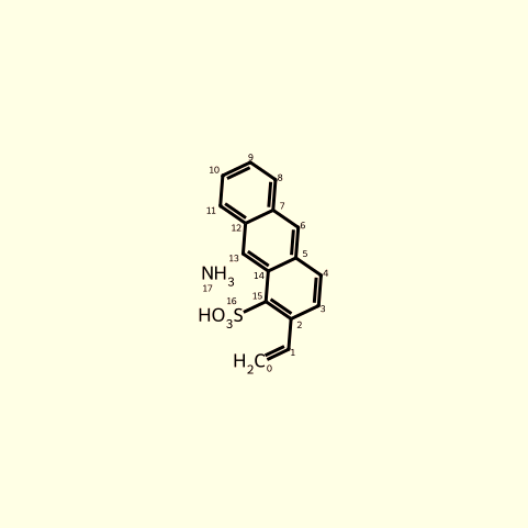 C=Cc1ccc2cc3ccccc3cc2c1S(=O)(=O)O.N